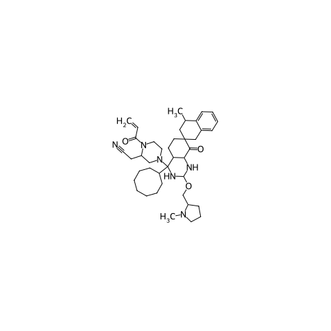 C=CC(=O)N1CCN(C2(C3CCCCCCC3)NC(OCC3CCCN3C)NC3C(=O)C4(CCC32)Cc2ccccc2C(C)C4)CC1CC#N